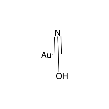 N#CO.[Au]